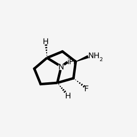 CC(C)N1[C@H]2CC[C@@H]1[C@@H](F)[C@H](N)C2